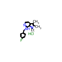 CCn1c(C)c(C)c2ccnc(NCc3ccc(F)cc3)c21.Cl